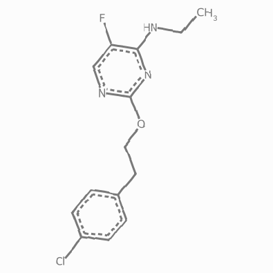 CCNc1nc(OCCc2ccc(Cl)cc2)ncc1F